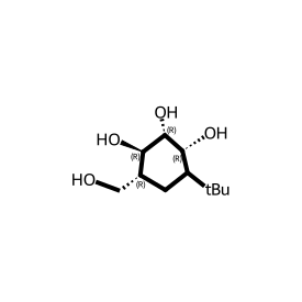 CC(C)(C)C1C[C@H](CO)[C@@H](O)[C@H](O)[C@@H]1O